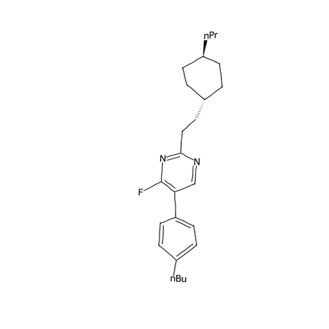 CCCCc1ccc(-c2cnc(CC[C@H]3CC[C@H](CCC)CC3)nc2F)cc1